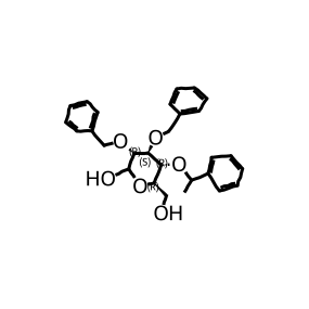 CC(O[C@H]1[C@H](OCc2ccccc2)[C@@H](OCc2ccccc2)C(O)O[C@@H]1CO)c1ccccc1